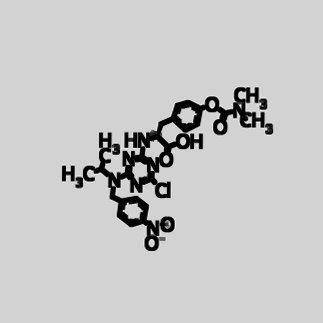 CC(C)N(Cc1ccc([N+](=O)[O-])cc1)c1nc(Cl)nc(N[C@@H](Cc2ccc(OC(=O)N(C)C)cc2)C(=O)O)n1